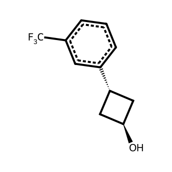 O[C@H]1C[C@H](c2cccc(C(F)(F)F)c2)C1